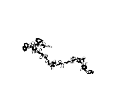 CN[C@@H](C)C(=O)N[C@H](C(=O)N1C[C@@H](NC(=O)CCC(=O)NCCOCCN2C[C@@H]3CN(CC(=O)NCCCNc4cc(N5CCC6(CC5)CN(c5cc(F)c(CN7CCC(C)(C)CC7)cc5F)CC(=O)N6)ncn4)C[C@@H]3C2)C[C@H]1C(=O)NC1CCCc2ccccc21)C1CCCCC1